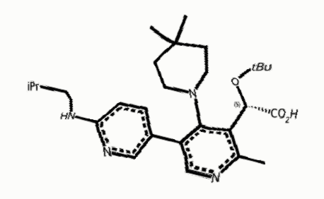 Cc1ncc(-c2ccc(NCC(C)C)nc2)c(N2CCC(C)(C)CC2)c1[C@H](OC(C)(C)C)C(=O)O